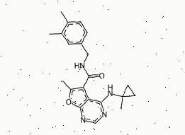 Cc1ccc(CNC(=O)c2c(C)oc3ncnc(NC4(C)CC4)c23)cc1C